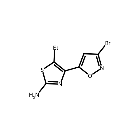 CCc1sc(N)nc1-c1cc(Br)no1